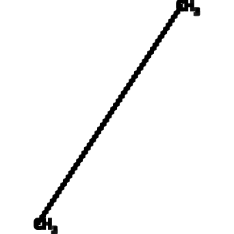 CCCCCCCCCCCCCCCCCCCCCCCCCCCCCCCCCCCCCCCCCCCCCCCCCCCCCCCCCCCCCCCCCCCCCCCCCCCCCCCCCCCCCCCCCCCCCCCCCCCCCCCCCCCCCC